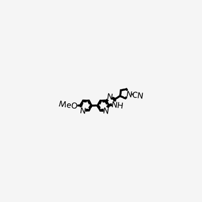 COc1ccc(-c2cnc3[nH]c(C4CCN(C#N)C4)nc3c2)cn1